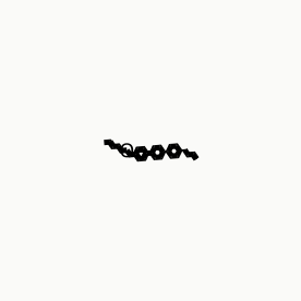 C=CCC[C@H]1CC[C@H](C2CCC(c3ccc(COCCC=CC)cc3)CC2)CC1